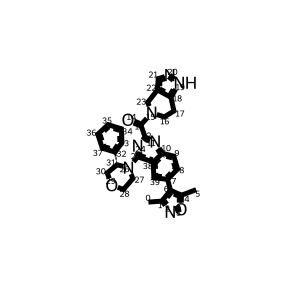 Cc1noc(C)c1-c1ccc2nc(C(=O)N3CCc4[nH]ncc4C3)nc(N3CCOC[C@@H]3c3ccccc3)c2c1